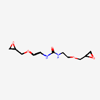 O=C(NCCOCC1CO1)NCCOCC1CO1